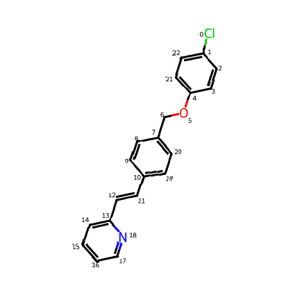 Clc1ccc(OCc2ccc(/C=C/c3ccccn3)cc2)cc1